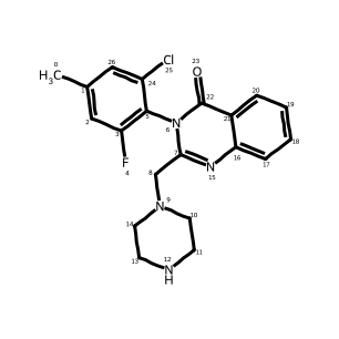 Cc1cc(F)c(-n2c(CN3CCNCC3)nc3ccccc3c2=O)c(Cl)c1